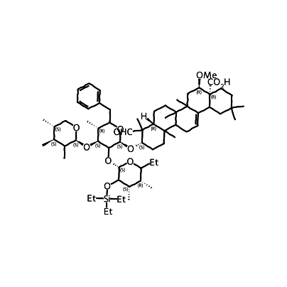 CCC1O[C@@H](OC2[C@H](O[C@H]3CCC4(C)C5CC=C6C7CC(C)(C)CC[C@]7(C(=O)O)[C@H](OC)CC6(C)C5(C)CC[C@H]4C3(C)C=O)OC(Cc3ccccc3)[C@@H](C)[C@@H]2O[C@@H]2OC[C@@H](C)[C@H](C)C2C)C(O[Si](CC)(CC)CC)[C@@H](C)[C@H]1C